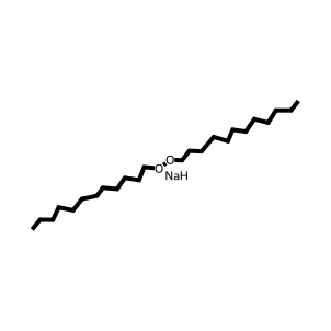 CCCCCCCCCCCCOOCCCCCCCCCCCC.[NaH]